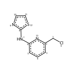 ClCc1cccc(Nc2nccs2)n1